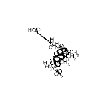 C=C(C)[C@@H]1CC[C@]2(C(=O)NCC(=O)NCCCCCCCC(=O)O)CC[C@]3(C)[C@H](CCC4[C@@]5(C)CC[C@H](OC(C)=O)C(C)(C)[C@@H]5CC[C@]43C)[C@@H]12